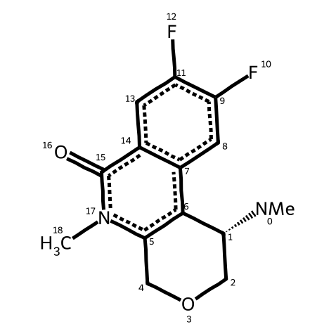 CN[C@@H]1COCc2c1c1cc(F)c(F)cc1c(=O)n2C